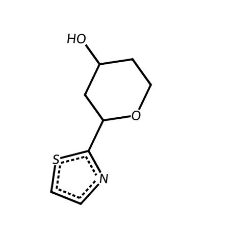 OC1CCOC(c2nccs2)C1